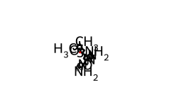 COc1cc(C)cc2cc(-c3cc(C(=O)N4CCC[C@@H](N)C4)n4ncnc(N)c34)sc12